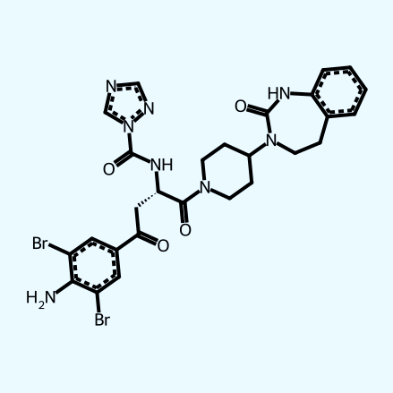 Nc1c(Br)cc(C(=O)C[C@H](NC(=O)n2cncn2)C(=O)N2CCC(N3CCc4ccccc4NC3=O)CC2)cc1Br